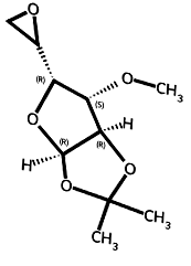 CO[C@@H]1[C@H]2OC(C)(C)O[C@H]2O[C@@H]1C1CO1